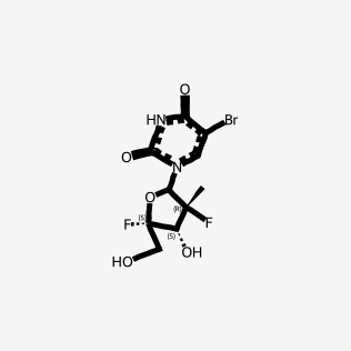 C[C@]1(F)C(n2cc(Br)c(=O)[nH]c2=O)O[C@](F)(CO)[C@H]1O